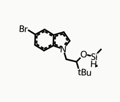 C[SiH](C)OC(Cn1ccc2cc(Br)ccc21)C(C)(C)C